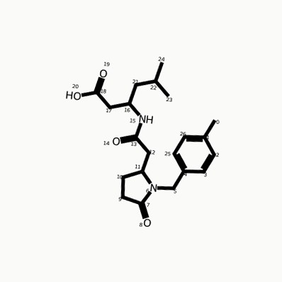 Cc1ccc(CN2C(=O)CCC2CC(=O)NC(CC(=O)O)CC(C)C)cc1